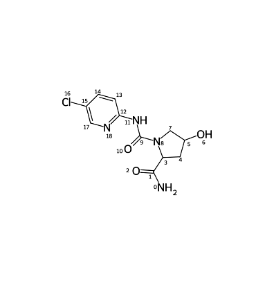 NC(=O)C1CC(O)CN1C(=O)Nc1ccc(Cl)cn1